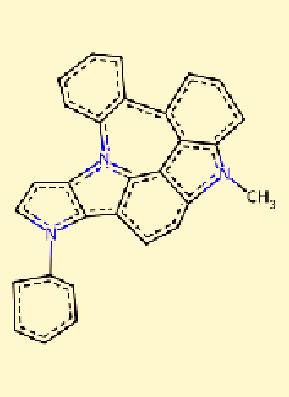 Cn1c2cccc3c4ccccc4n4c5ccn(-c6ccccc6)c5c5ccc1c(c32)c54